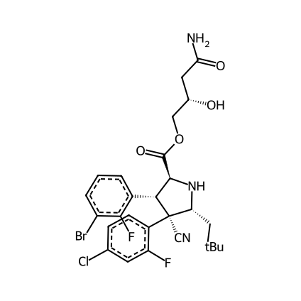 CC(C)(C)C[C@H]1N[C@H](C(=O)OC[C@@H](O)CC(N)=O)[C@@H](c2cccc(Br)c2F)[C@]1(C#N)c1ccc(Cl)cc1F